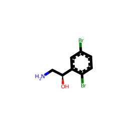 NC[C@H](O)c1cc(Br)ccc1Br